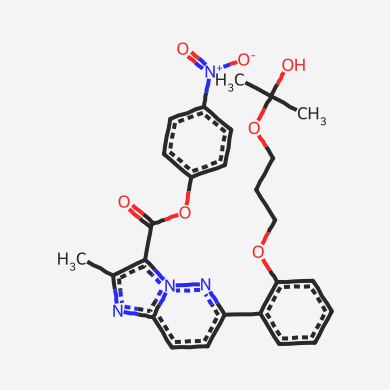 Cc1nc2ccc(-c3ccccc3OCCCOC(C)(C)O)nn2c1C(=O)Oc1ccc([N+](=O)[O-])cc1